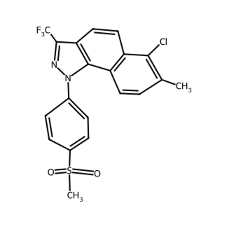 Cc1ccc2c(ccc3c(C(F)(F)F)nn(-c4ccc(S(C)(=O)=O)cc4)c32)c1Cl